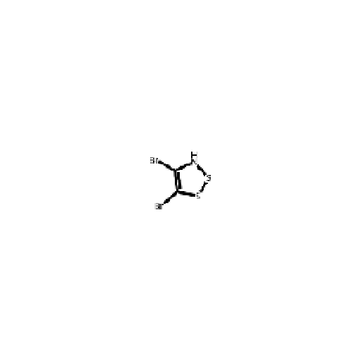 BrC1=C(Br)SSN1